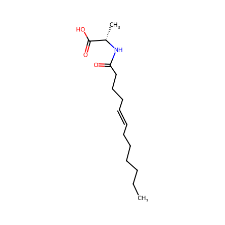 CCCCCCC=CCCCC(=O)N[C@@H](C)C(=O)O